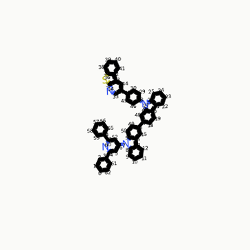 c1ccc(-c2cc(-n3c4ccccc4c4cc(-c5ccc6c7ccccc7n(-c7ccc(-c8cnc9sc%10ccccc%10c9c8)cc7)c6c5)ccc43)cc(-c3ccccc3)n2)cc1